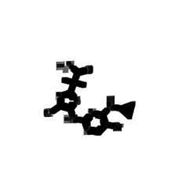 CC(C)(C(N)=O)c1nc(Cl)c(Nc2ncc(Br)c(NC3CC3)n2)s1